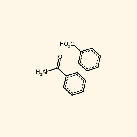 O=C(O)c1ccccc1.O=[C]([AlH2])c1ccccc1